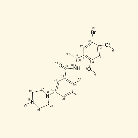 COc1cc(OC)c([C@@H](C)NC(=O)c2cc(N3CCN(C)CC3)ccc2C)cc1Br